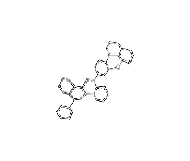 c1ccc(-c2cc3c4ccccc4c(-c4ccc5c(c4)Oc4cccc6cccc-5c46)cc3c3ccccc23)cc1